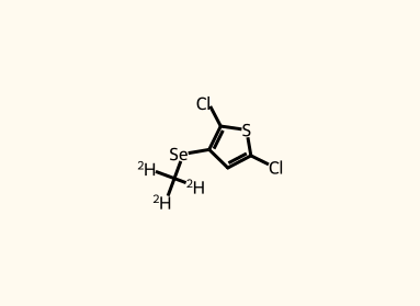 [2H]C([2H])([2H])[Se]c1cc(Cl)sc1Cl